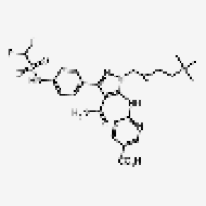 C[Si](C)(C)CCOCn1nc(-c2ccc(NS(=O)(=O)C(F)F)cc2)c(C(N)=O)c1Nc1ccc(C(=O)O)cn1